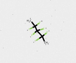 [CH2]C(F)(F)C(F)(F)C([CH2])(F)F